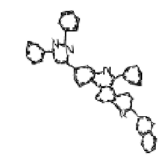 c1ccc(-c2cc(-c3ccc4c(c3)nc(-c3ccccc3)c3c5ccc(-c6ccc7ccccc7c6)nc5ccc43)nc(-c3ccccc3)n2)cc1